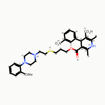 COc1ccccc1N1CCN(CCSCCCOC(=O)C2=C(C)NC(C)=C(C(=O)O)C2c2cccc([N+](=O)[O-])c2)CC1